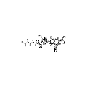 CCCCCCOC(=O)c1sc(-c2cc3cc(C(C)C)cc(C#N)c3s2)nc1C